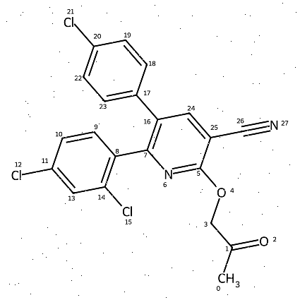 CC(=O)COc1nc(-c2ccc(Cl)cc2Cl)c(-c2ccc(Cl)cc2)cc1C#N